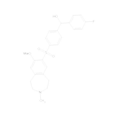 COc1cc2c(cc1S(=O)(=O)c1ccc(C(O)c3ccc(F)cc3)cc1)CCN(C)CC2